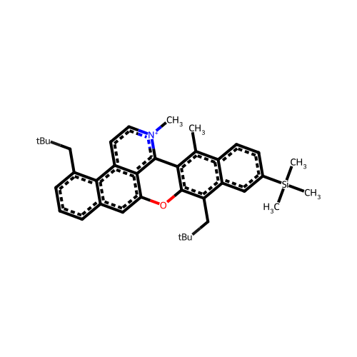 Cc1c2c(c(CC(C)(C)C)c3cc([Si](C)(C)C)ccc13)Oc1cc3cccc(CC(C)(C)C)c3c3cc[n+](C)c-2c13